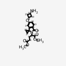 COC(=O)CCC(C(=O)OC)N1C(=O)c2ccc(O[C@H]3C[C@H](N)C3)cc2C12CC2